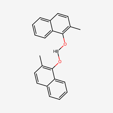 Cc1ccc2ccccc2c1OBOc1c(C)ccc2ccccc12